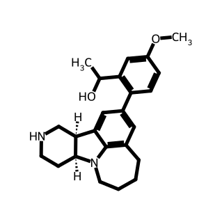 COc1ccc(-c2cc3c4c(c2)[C@@H]2CNCC[C@@H]2N4CCCC3)c(C(C)O)c1